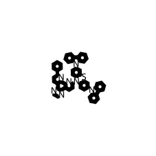 c1ccc(-c2ccc3c4nccnc4c4ccc(N5c6ccc(-n7c8ccccc8c8ccccc87)cc6Sc6cc(-n7c8ccccc8c8ccccc87)ccc65)nc4c3n2)cc1